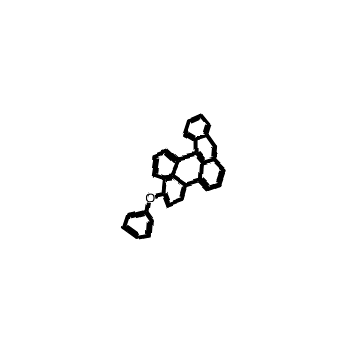 c1ccc(Oc2ccc3c4cccc5cc6ccccc6c(c6cccc2c36)c54)cc1